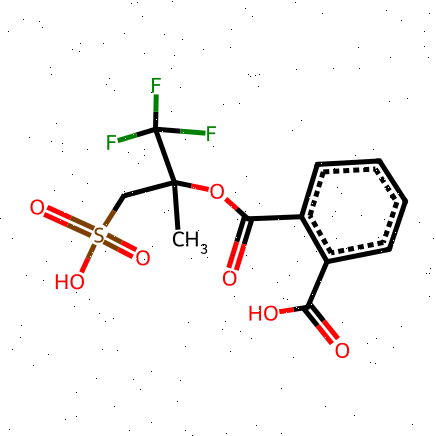 CC(CS(=O)(=O)O)(OC(=O)c1ccccc1C(=O)O)C(F)(F)F